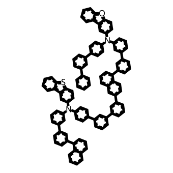 c1ccc(-c2cccc(-c3ccc(N(c4cccc(-c5cccc(-c6cccc7cc(-c8cccc(-c9cccc(-c%10ccc(N(c%11cccc(-c%12cccc(-c%13cccc%14ccccc%13%14)c%12)c%11)c%11ccc%12sc%13ccccc%13c%12c%11)cc%10)c9)c8)ccc67)c5)c4)c4ccc5oc6ccccc6c5c4)cc3)c2)cc1